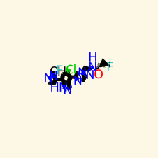 Cn1nccc1-c1c(F)c(Cl)c(-c2cn3cc(NC(=O)[C@@H]4C[C@@H]4F)nc3cn2)c2cn[nH]c12